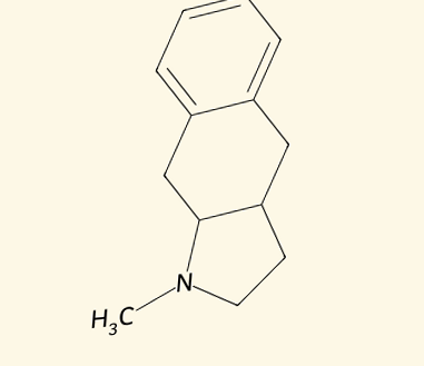 CN1CCC2Cc3ccccc3CC21